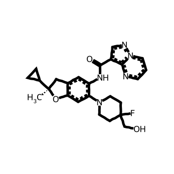 C[C@]1(C2CC2)Cc2cc(NC(=O)c3cnn4cccnc34)c(N3CCC(F)(CO)CC3)cc2O1